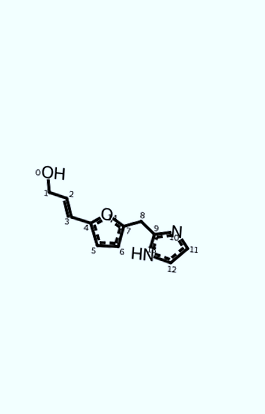 OCC=Cc1ccc(Cc2ncc[nH]2)o1